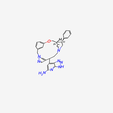 Nc1cc(C2CCN3C[C@H](COc4cccc(c4)Cn4cc2cn4)[C@@H](c2ccccc2)C3)c2nn[nH]c2n1